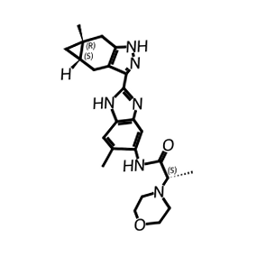 Cc1cc2[nH]c(-c3n[nH]c4c3C[C@@H]3C[C@]3(C)C4)nc2cc1NC(=O)[C@H](C)N1CCOCC1